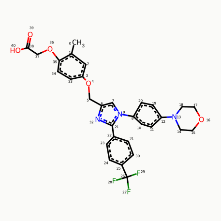 Cc1cc(OCc2cn(-c3ccc(N4CCOCC4)cc3)c(-c3ccc(C(F)(F)F)cc3)n2)ccc1OCC(=O)O